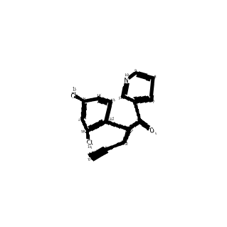 C#CCC(C(=O)c1cccnc1)c1ccc(Cl)cc1Cl